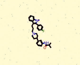 CC(C)C(=O)Nc1cccc(C2CCN(CCCc3c(-c4ccc(F)cc4)n(C)c4ccccc34)CC2)c1